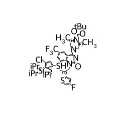 CC(C)[Si](c1sc([SH]2C[C@@H](c3cc(F)cs3)Cn3c(=O)nc(N4C[C@@H](C)N(C(=O)OC(C)(C)C)[C@@H](C)C4)c4cc(C(F)(F)F)cc2c43)cc1Cl)(C(C)C)C(C)C